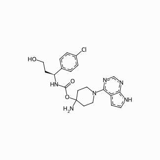 NC1(OC(=O)N[C@@H](CCO)c2ccc(Cl)cc2)CCN(c2ncnc3[nH]ccc23)CC1